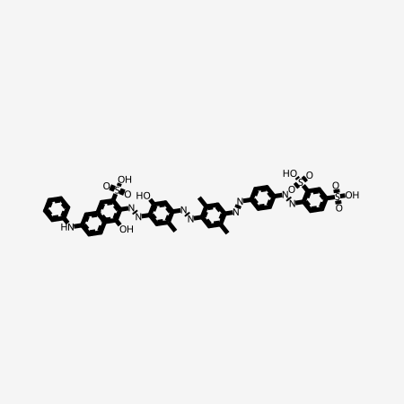 Cc1cc(N=Nc2cc(O)c(N=Nc3c(S(=O)(=O)O)cc4cc(Nc5ccccc5)ccc4c3O)cc2C)c(C)cc1N=Nc1ccc(N=Nc2ccc(S(=O)(=O)O)cc2S(=O)(=O)O)cc1